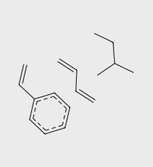 C=CC=C.C=Cc1ccccc1.CCC(C)C